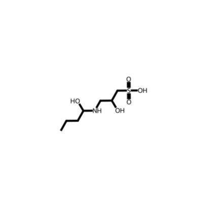 CCCC(O)NCC(O)CS(=O)(=O)O